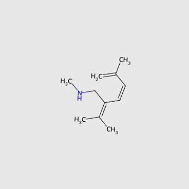 C=C(C)/C=C\C(CNC)=C(C)C